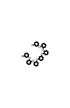 Fc1cccc(Oc2ccccc2Oc2ccccc2Oc2cccc(Oc3ccccc3Oc3ccccc3Oc3cccc(F)c3)c2)c1